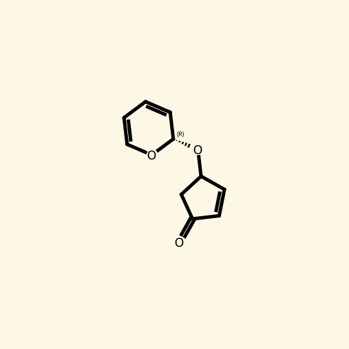 O=C1C=CC(O[C@H]2C=CC=CO2)C1